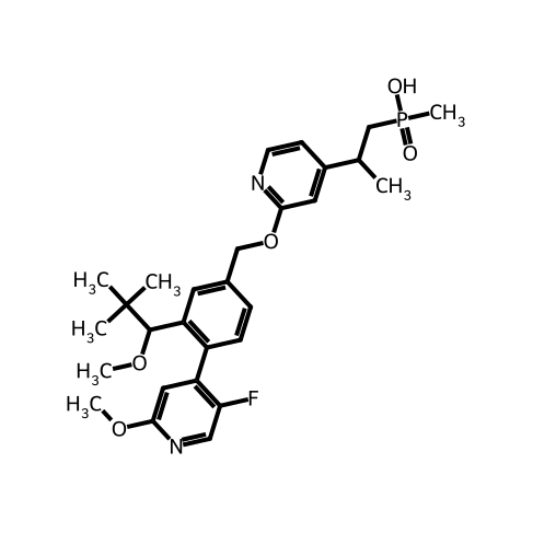 COc1cc(-c2ccc(COc3cc(C(C)CP(C)(=O)O)ccn3)cc2C(OC)C(C)(C)C)c(F)cn1